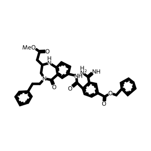 COC(=O)CC1CN(CCc2ccccc2)C(=O)c2cc(NC(=O)c3ccc(C(=O)OCc4ccccc4)cc3C(=N)N)ccc2N1